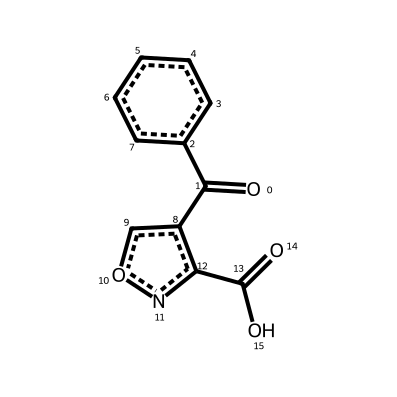 O=C(c1ccccc1)c1conc1C(=O)O